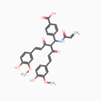 C=CC(=O)NC(c1ccc(C(=O)O)cc1)C(C(=O)C=Cc1ccc(O)c(OC)c1)C(=O)C=Cc1ccc(O)c(OC)c1